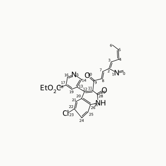 C=NC(=C\C=C/C)/C=C/C(=O)c1c(-c2cncc(C(=O)OCC)c2)c2cc(Cl)ccc2[nH]c1=O